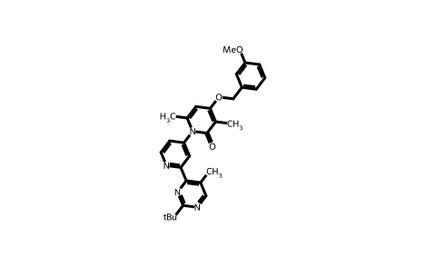 COc1cccc(COc2cc(C)n(-c3ccnc(-c4nc(C(C)(C)C)ncc4C)c3)c(=O)c2C)c1